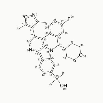 Cc1noc(C)c1-c1cnc2c3ccc(C(C)(C)O)cc3n3c2c1-c1ccc(F)cc1C3C1CCOCC1